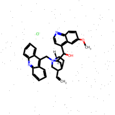 C=CC1C[N+]2(Cc3c4ccccc4nc4ccccc34)CCC1C[C@H]2C(O)c1ccnc2ccc(OC)cc12.[Cl-]